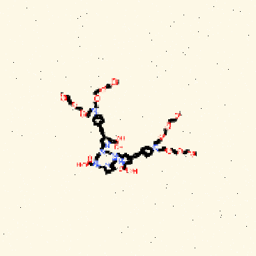 COCCOCCOCCN(CCOCCOCCOC)c1ccc(C#Cc2cc(CN3CCN(Cc4cc(C#Cc5ccc(N(CCOCCOCCOC)CCOCCOCCOC)cc5)cc(C(O)O)n4)CCN(CC(=O)O)Cc4cccc(n4)C3)nc(C(=O)O)c2)cc1